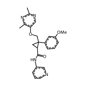 COc1cccc(C2(COc3cnc(C)nc3C)CC2C(=O)Nc2cccnc2)c1